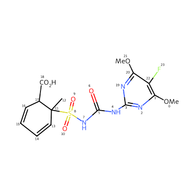 COc1nc(NC(=O)NS(=O)(=O)C2(C)C=CC=CC2C(=O)O)nc(OC)c1F